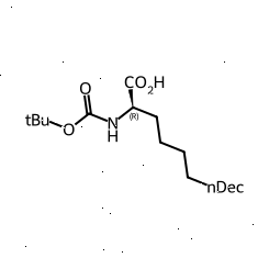 CCCCCCCCCCCCCC[C@@H](NC(=O)OC(C)(C)C)C(=O)O